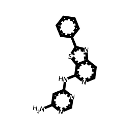 Nc1cc(Nc2nccc3nc(-c4ccccc4)sc23)ncn1